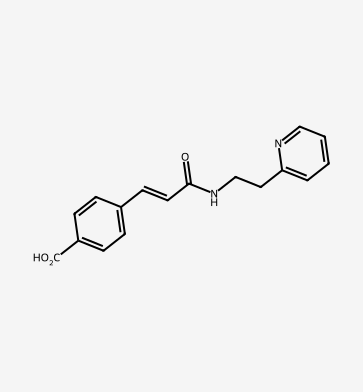 O=C(/C=C/c1ccc(C(=O)O)cc1)NCCc1ccccn1